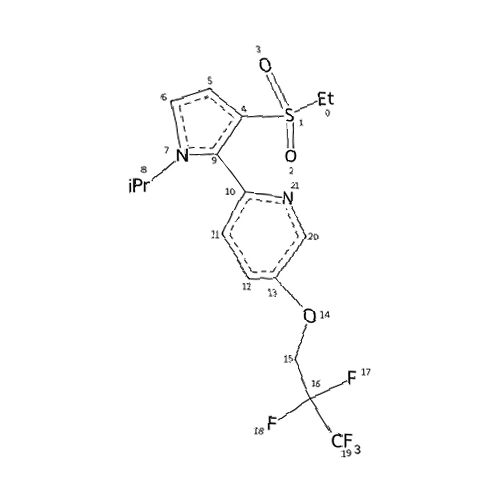 CCS(=O)(=O)c1ccn(C(C)C)c1-c1ccc(OCC(F)(F)C(F)(F)F)cn1